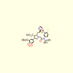 CCCC(CCC)N(C(=O)CN1CC(c2cc(OC)c3c(c2)OCO3)C(C(=O)O)C1CCc1ncco1)c1ccc(F)c(C)c1